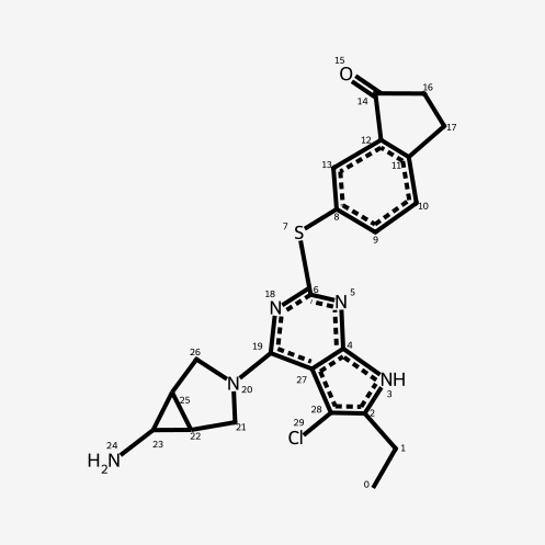 CCc1[nH]c2nc(Sc3ccc4c(c3)C(=O)CC4)nc(N3CC4C(N)C4C3)c2c1Cl